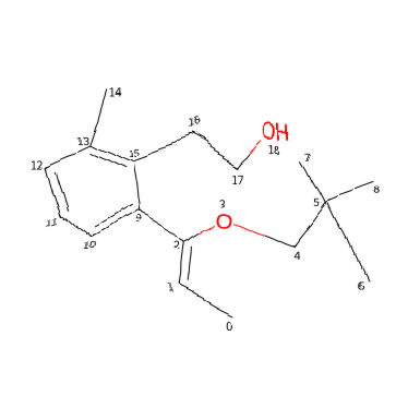 CC=C(OCC(C)(C)C)c1cccc(C)c1CCO